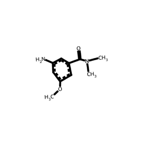 COc1cc(N)cc(C(=O)N(C)C)c1